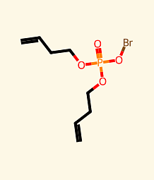 C=CCCOP(=O)(OBr)OCCC=C